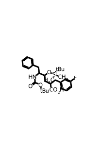 CC(C)(C)OC(=O)NC(Cc1ccccc1)C(CC(Cc1cccc(F)c1)C(=O)O)O[Si](C)(C)C(C)(C)C